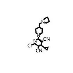 N#Cc1c(Cl)nc(N2CCC(CN3CCCC3)CC2)c(C#N)c1C1CC1